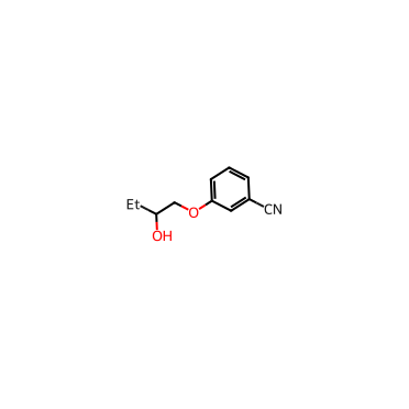 CCC(O)COc1cccc(C#N)c1